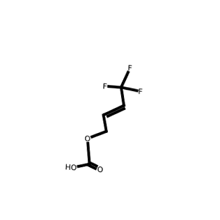 O=C(O)OCC=CC(F)(F)F